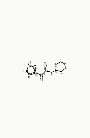 O=C(CC1CCCCC1)Nc1ccno1